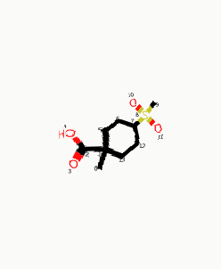 CC1(C(=O)O)CCC(S(C)(=O)=O)CC1